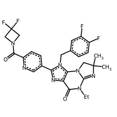 CCN1C(=O)c2nc(-c3ccc(C(=O)N4CC(F)(F)C4)nc3)n(Cc3ccc(F)c(F)c3)c2N2CC(C)(C)N=C12